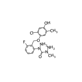 Cc1cc(OCc2c(F)cccc2N(N)C(=O)N(C)N)c(Cl)cc1O